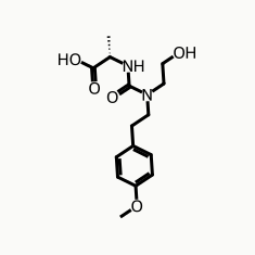 COc1ccc(CCN(CCO)C(=O)N[C@@H](C)C(=O)O)cc1